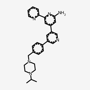 CC(C)N1CCN(Cc2ccc(-c3cncc(-c4cc(N)nc(-c5ccccn5)c4)c3)cc2)CC1